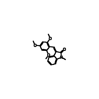 COc1cc(OC)c(C=C2C(=O)N(C)c3ccccc32)c(OC)c1